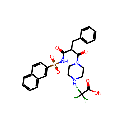 O=C(NS(=O)(=O)c1ccc2ccccc2c1)C(Cc1ccccc1)C(=O)N1CCNCC1.O=C(O)C(F)(F)F